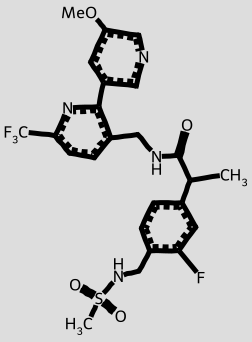 COc1cncc(-c2nc(C(F)(F)F)ccc2CNC(=O)C(C)c2ccc(CNS(C)(=O)=O)c(F)c2)c1